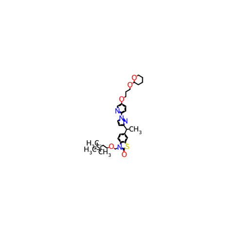 CC(c1ccc2c(c1)sc(=O)n2COCC[Si](C)(C)C)c1ccn(-c2ccc(OCCCOC3CCCCO3)cn2)n1